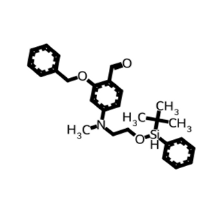 CN(CCO[SiH](c1ccccc1)C(C)(C)C)c1ccc(C=O)c(OCc2ccccc2)c1